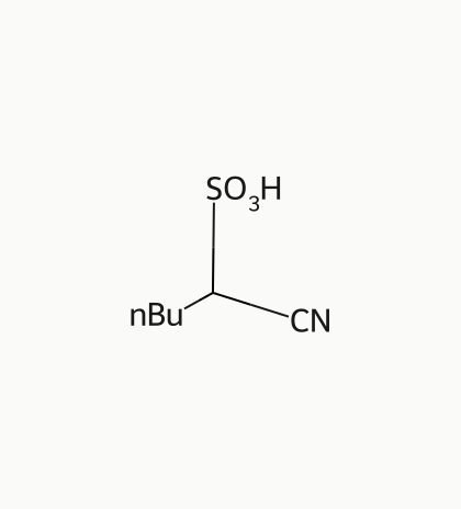 CCCCC(C#N)S(=O)(=O)O